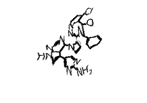 Nc1ncc(-c2c[nH]c3ncnc(N4CC[C@H]4c4nn5ccc(Cl)c5c(=O)n4-c4ccccc4)c23)cn1